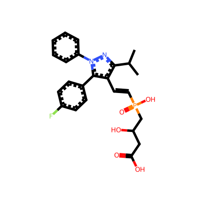 CC(C)c1nn(-c2ccccc2)c(-c2ccc(F)cc2)c1C=CP(=O)(O)CC(O)CC(=O)O